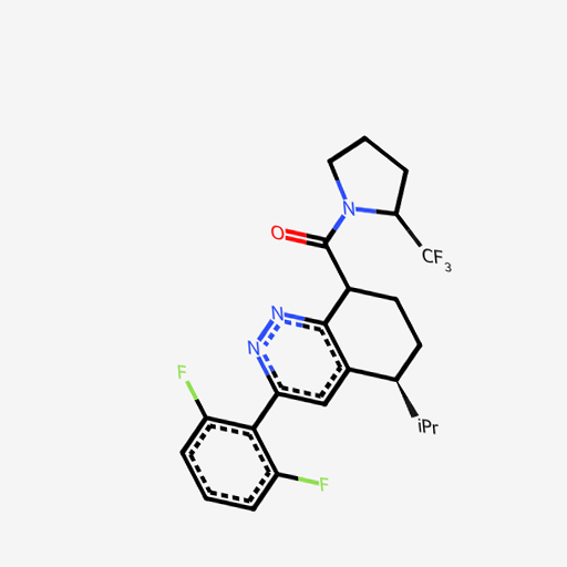 CC(C)[C@@H]1CCC(C(=O)N2CCCC2C(F)(F)F)c2nnc(-c3c(F)cccc3F)cc21